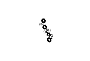 Cc1ccccc1N1CC(C(=O)Nc2ccc(Nc3ccccc3)cc2)CC1=O